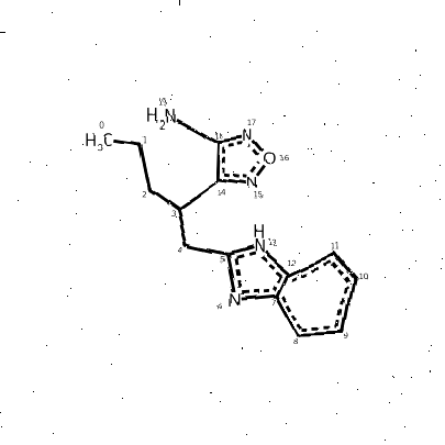 CCCC(Cc1nc2ccccc2[nH]1)c1nonc1N